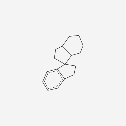 c1ccc2c(c1)CCC21CCC2CCCCC21